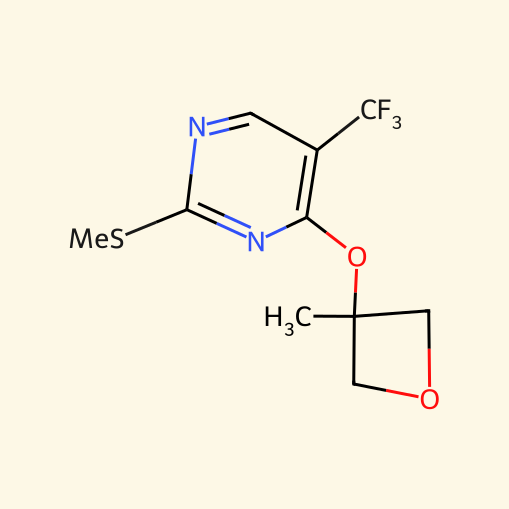 CSc1ncc(C(F)(F)F)c(OC2(C)COC2)n1